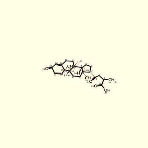 CC(CC(=O)[C@H]1CC[C@H]2[C@@H]3CCC4=CC(=O)C=C[C@]4(C)[C@H]3CC[C@]12C)C(=O)O